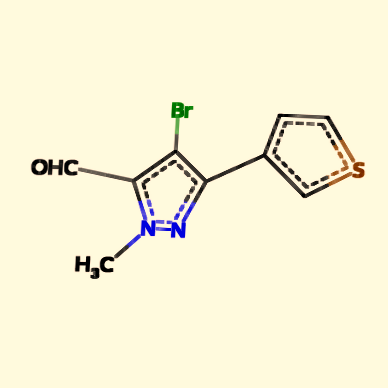 Cn1nc(-c2ccsc2)c(Br)c1C=O